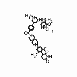 Cc1cc(N2CCC3(CCN(C(=O)c4ccc([C@H]5C[C@@H](Nc6cnn(C)c(=O)c6C)CN(C)C5)cc4)CC3)CC2)cc(F)c1C1CCC(=O)NC1=O